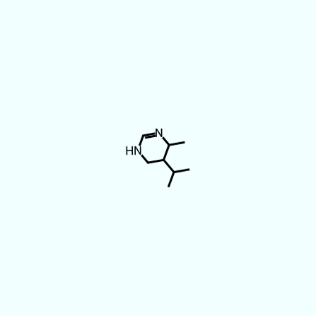 CC(C)C1CNC=NC1C